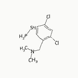 CN(C)Cc1ccc(Cl)cc1Cl.PS